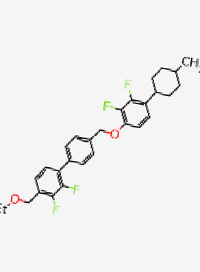 CCOCc1ccc(-c2ccc(COc3ccc(C4CCC(C)CC4)c(F)c3F)cc2)c(F)c1F